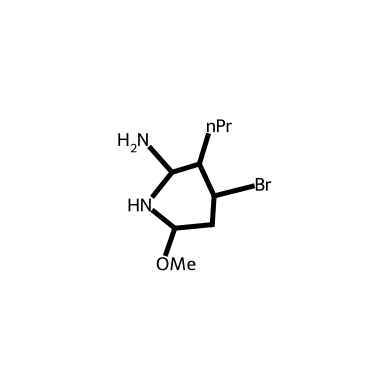 CCCC1C(Br)CC(OC)NC1N